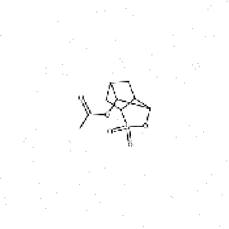 CC(=O)OC1C2CC3C1OS(=O)(=O)C3C2